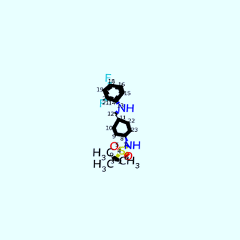 CC(C)(C)S(=O)(=O)N[C@H]1CC[C@H](CNc2ccc(F)cc2F)CC1